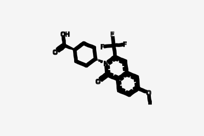 COc1ccc2c(=O)n([C@H]3CC[C@H](C(=O)O)CC3)c(C(F)(F)F)cc2c1